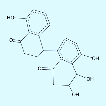 O=C1CCC(c2ccc(O)c3c2C(=O)CC(O)C3O)c2cccc(O)c21